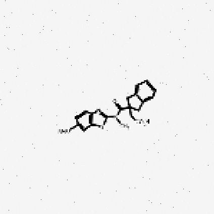 COc1ccc2nc(N(C)C(=O)C3(CC(=O)O)Cc4ccccc4C3)sc2c1